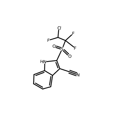 N#Cc1c(S(=O)(=O)C(F)(F)C(F)Cl)[nH]c2ccccc12